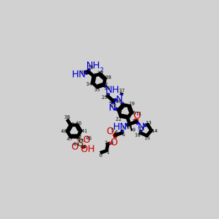 CCCOC(=O)CN[C@@](C)(C(=O)N1CCCC1)c1ccc2c(c1)nc(CNc1ccc(C(=N)N)cc1)n2C.Cc1ccc(S(=O)(=O)O)cc1